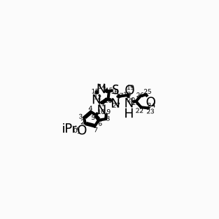 CC(C)Oc1ccc2c(c1)CCN2c1ncnc2sc(C(=O)NC3CCOCC3)nc12